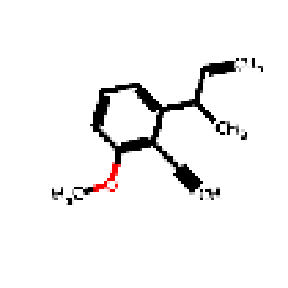 C#Cc1c(OC)cccc1[C](C)C=C